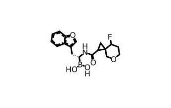 O=C(N[C@@H](Cc1coc2ccccc12)B(O)O)C1CC12COCCC2F